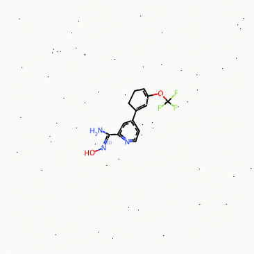 N/C(=N\O)c1cc(C2=CC(OC(F)(F)F)=CCC2)ccn1